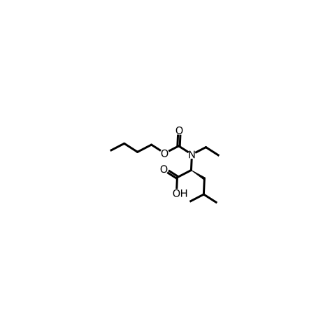 CCCCOC(=O)N(CC)[C@@H](CC(C)C)C(=O)O